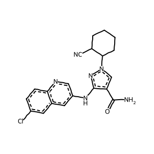 N#CC1CCCCC1n1cc(C(N)=O)c(Nc2cnc3ccc(Cl)cc3c2)n1